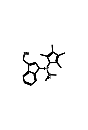 CC1=C(C)[CH]([Hf+]([CH]2C=C(CC(C)(C)C)c3ccccc32)[SiH](C)C)C(C)=C1C